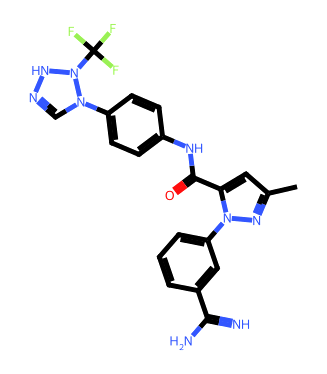 Cc1cc(C(=O)Nc2ccc(N3C=NNN3C(F)(F)F)cc2)n(-c2cccc(C(=N)N)c2)n1